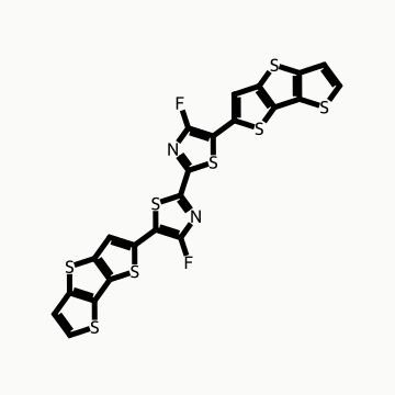 Fc1nc(-c2nc(F)c(-c3cc4sc5ccsc5c4s3)s2)sc1-c1cc2sc3ccsc3c2s1